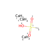 CS(=O)(=O)O.[CaH2].[CaH2].[CaH2]